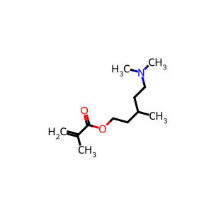 C=C(C)C(=O)OCCC(C)CCN(C)C